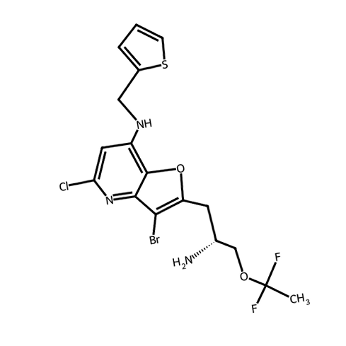 CC(F)(F)OC[C@H](N)Cc1oc2c(NCc3cccs3)cc(Cl)nc2c1Br